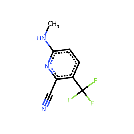 CNc1ccc(C(F)(F)F)c(C#N)n1